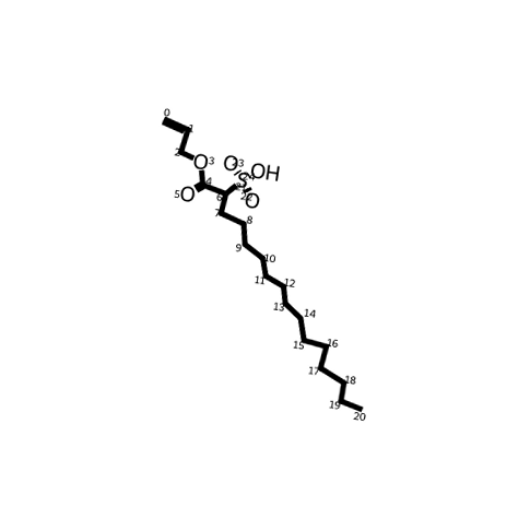 C=CCOC(=O)C(CCCCCCCCCCCCCC)S(=O)(=O)O